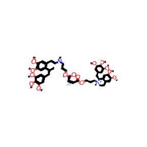 COc1cc(CCN(C)CCCOC(=O)/C=C\C(=O)OCCC[N+]2(C)CCc3cc(OC)c(OC)cc3C2Cc2cc(OC)c(OC)c(OC)c2)c(C(C)Cc2cc(OC)c(OC)c(OC)c2)cc1OC